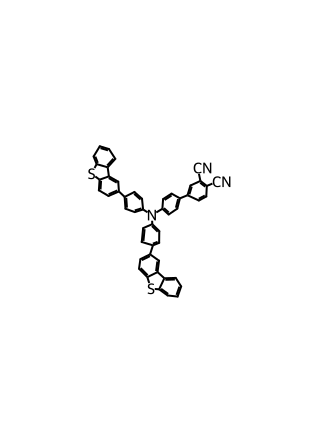 N#Cc1ccc(-c2ccc(N(c3ccc(-c4ccc5sc6ccccc6c5c4)cc3)c3ccc(-c4ccc5sc6ccccc6c5c4)cc3)cc2)cc1C#N